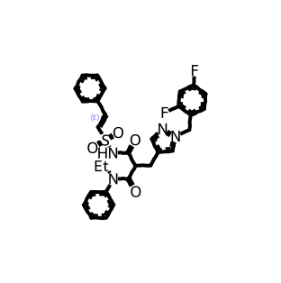 CCN(C(=O)C(Cc1cnn(Cc2ccc(F)cc2F)c1)C(=O)NS(=O)(=O)/C=C/c1ccccc1)c1ccccc1